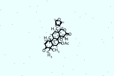 CC(=O)OC1CC2C(C)(C)C(=O)C=C[C@]2(C)C2CC[C@@]3(C)[C@H](c4ccoc4)OC(=O)[C@H]4O[C@]43C12C